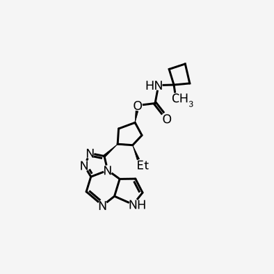 CC[C@@H]1C[C@H](OC(=O)NC2(C)CCC2)C[C@@H]1c1nnc2n1C1C=CNC1N=C2